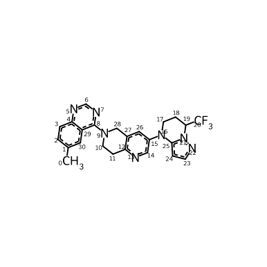 Cc1ccc2ncnc(N3CCc4ncc(N5CCC(C(F)(F)F)n6nccc65)cc4C3)c2c1